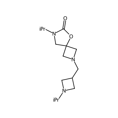 CC(C)N1CC(CN2CC3(C2)CN(C(C)C)C(=O)O3)C1